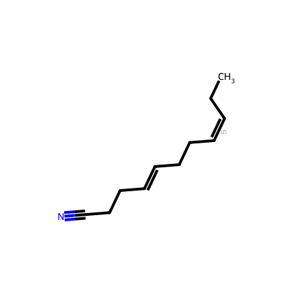 CC/C=C\CCC=CCCC#N